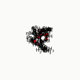 CCCCOc1ccc(NC(=O)NC(=O)C[C@@H]2CC(=O)[C@H](NC(=O)[C@H](CC)CC(C)C)[C@H](O)c3ccc(c(Cl)c3)Oc3cc4cc(c3O[C@@H]3O[C@H](CO)[C@@H](O)[C@H](O)[C@H]3O[C@H]3C[C@](C)(N)[C@H](O)[C@H](C)O3)Oc3ccc(cc3Cl)[C@@H](O)[C@@H]3NC(=O)[C@H](CC(=O)[C@@H]4NC2=O)c2ccc(O)c(c2)-c2c(O)cc(O)cc2[C@@H](C(=O)CC2C4CC5CC(C4)CC2C5)NC3=O)c(OCCCC)c1